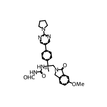 COc1ccc2c(c1)C(=O)N(C[C@](C)(NC(=O)NC=O)c1ccc(-c3cnc(N4CCCC4)nc3)cc1)C2